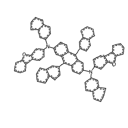 c1ccc2cc(-c3c4ccc(N(c5ccc6ccccc6c5)c5ccc6c(c5)oc5ccccc56)cc4c(-c4ccc5ccccc5c4)c4ccc(N(c5ccc6ccccc6c5)c5ccc6c(c5)oc5ccccc56)cc34)ccc2c1